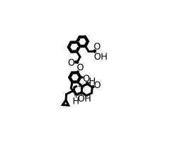 O=C(O)Cc1cccc2cccc(CC(=O)Oc3ccc4c5c3O[C@H]3C(=O)CC[C@@]6(O)[C@@H](C4)C(CC4CC4)CC[C@]536)c12